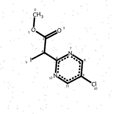 COC(=O)[C](I)c1ncc(Cl)cn1